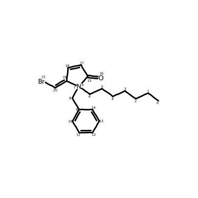 CCCCCCC[N+]1(Cc2ccccc2)C(=O)C=CC1=CBr